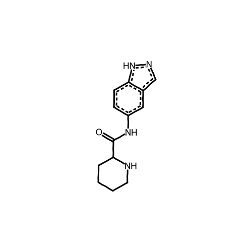 O=C(Nc1ccc2[nH]ncc2c1)C1CCCCN1